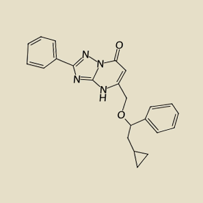 O=c1cc(COC(CC2CC2)c2ccccc2)[nH]c2nc(-c3ccccc3)nn12